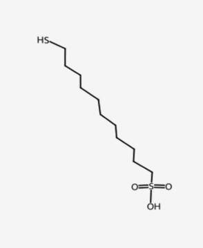 O=S(=O)(O)CCCCCCCCCCCS